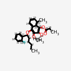 CCCCCC(Oc1c(OC)c(OC)c(OC(=O)CC)c2c(C)cccc12)c1ccccc1F